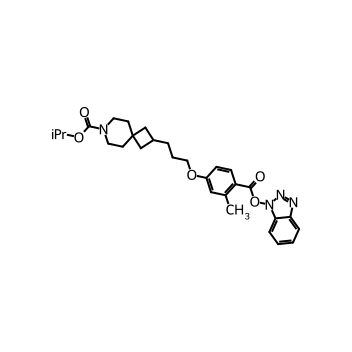 Cc1cc(OCCCC2CC3(CCN(C(=O)OC(C)C)CC3)C2)ccc1C(=O)On1nnc2ccccc21